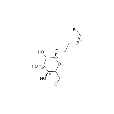 CC/C=C\CCO[C@H]1OC(CO)[C@@H](O)[C@H](O)C1O